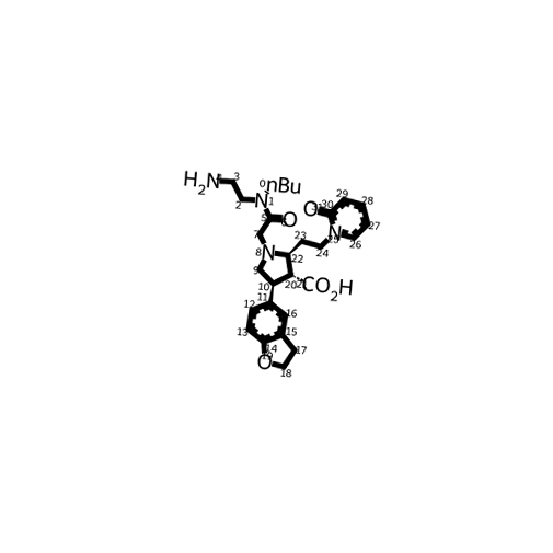 CCCCN(CCN)C(=O)CN1C[C@H](c2ccc3c(c2)CCO3)[C@@H](C(=O)O)[C@@H]1CCn1ccccc1=O